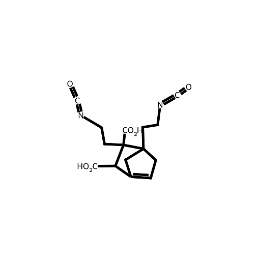 O=C=NCCC12CC=C(C1)C(C(=O)O)C2(CCN=C=O)C(=O)O